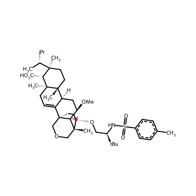 CO[C@@H]1C[C@@]23COC[C@](C)([C@@H]2CC[C@H]2C3=CC[C@@]3(C)[C@H](C(=O)O)[C@@](C)([C@H](C)C(C)C)CC[C@]23C)[C@H]1OC[C@@H](NS(=O)(=O)c1ccc(C)cc1)C(C)(C)C